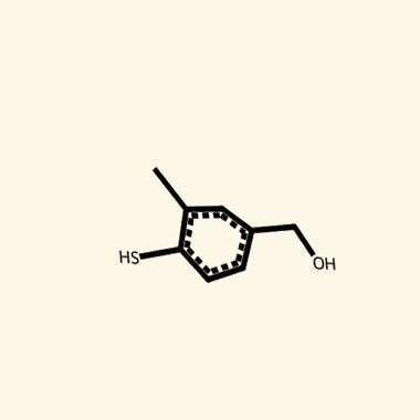 Cc1cc(CO)ccc1S